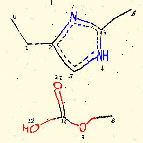 CCc1c[nH]c(C)n1.COC(=O)O